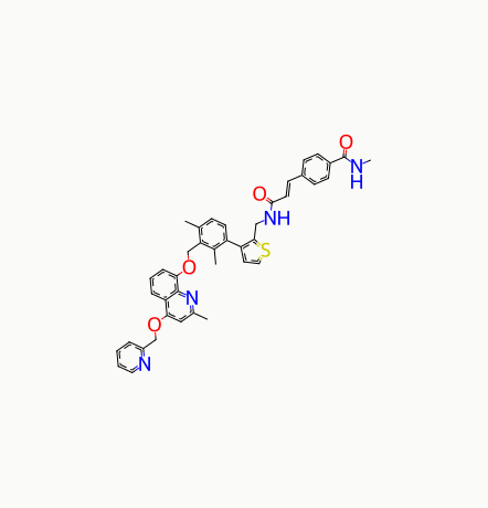 CNC(=O)c1ccc(/C=C/C(=O)NCc2sccc2-c2ccc(C)c(COc3cccc4c(OCc5ccccn5)cc(C)nc34)c2C)cc1